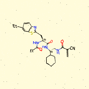 C=C(C#N)C(=O)NC[C@@H](NC(=O)[C@H](Cc1nc2ccc(CC)cc2s1)NC(=O)CC)C1CCCCC1